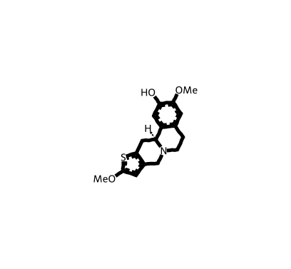 COc1cc2c(s1)C[C@H]1c3cc(O)c(OC)cc3CCN1C2